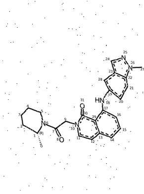 C[C@@H]1CCCCN1C(=O)Cn1ccc2cccc(Nc3ccc4c(cnn4C)c3)c2c1=O